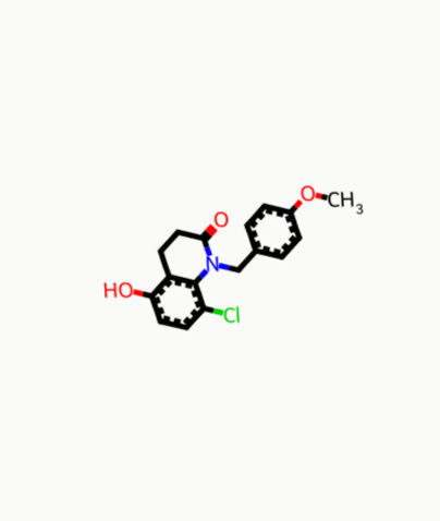 COc1ccc(CN2C(=O)CCc3c(O)ccc(Cl)c32)cc1